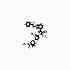 COC(=O)[C@]12CCN(c3ccc(-n4nc(-c5cccc6nn(C[C@H](O)c7ccccc7)cc56)c(C(C)C)c4C)c(C)n3)C[C@H]1C2